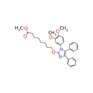 COC(=O)CCCCCCCOc1nc(-c2ccccc2)c(-c2ccccc2)n1-c1ccc(OC)c(OC)c1